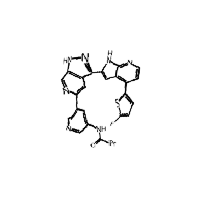 CC(C)C(=O)Nc1cncc(-c2cc3c(-c4cc5c(-c6ccc(F)s6)ccnc5[nH]4)n[nH]c3cn2)c1